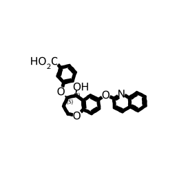 O=C(O)c1cccc(O[C@H]2CCOc3ccc(Oc4ccc5ccccc5n4)cc3[C@H]2O)c1